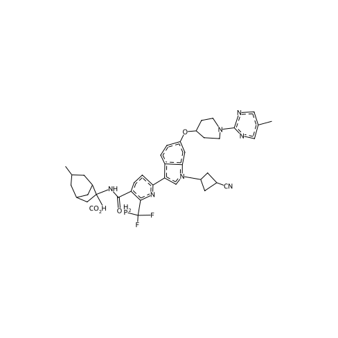 Cc1cnc(N2CCC(Oc3ccc4c(-c5ccc(C(=O)NC6(C(=O)O)CC7CC(C)CC6C7)c(C(F)(F)P)n5)cn(C5CC(C#N)C5)c4c3)CC2)nc1